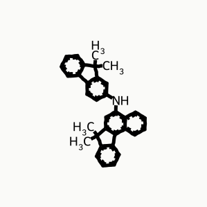 CC1(C)c2ccccc2-c2ccc(Nc3cc4c(c5ccccc35)-c3ccccc3C4(C)C)cc21